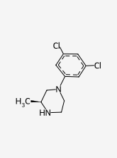 C[C@H]1CN(c2cc(Cl)cc(Cl)c2)CCN1